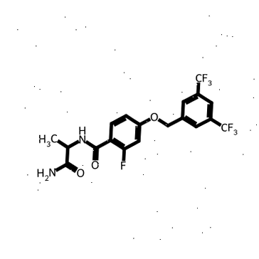 CC(NC(=O)c1ccc(OCc2cc(C(F)(F)F)cc(C(F)(F)F)c2)cc1F)C(N)=O